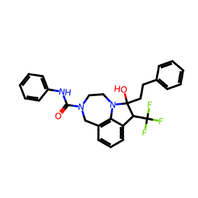 O=C(Nc1ccccc1)N1CCN2c3c(cccc3C(C(F)(F)F)C2(O)CCc2ccccc2)C1